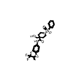 CC(Oc1ccc(NC(=O)C2(CO)CCN(S(=O)(=O)c3ccccc3)CC2)cc1)C(F)(F)F